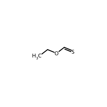 CCOC=S